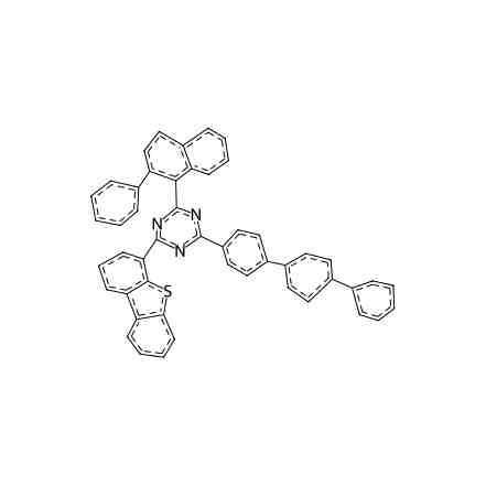 c1ccc(-c2ccc(-c3ccc(-c4nc(-c5c(-c6ccccc6)ccc6ccccc56)nc(-c5cccc6c5sc5ccccc56)n4)cc3)cc2)cc1